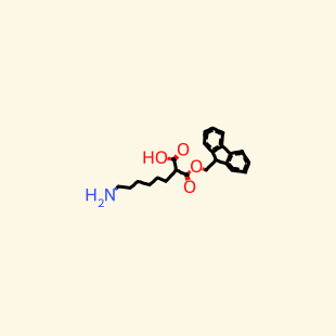 NCCCCCCC(C(=O)O)C(=O)OCC1c2ccccc2-c2ccccc21